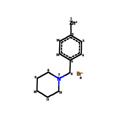 [Br-].[Zn+][c]1ccc(CN2CCCCC2)cc1